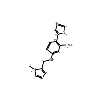 COc1cc(NCc2cncn2C)ccc1-c1cnco1